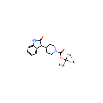 CC(C)(C)OC(=O)N1CCC(C2C(=O)Nc3ccccc32)CC1